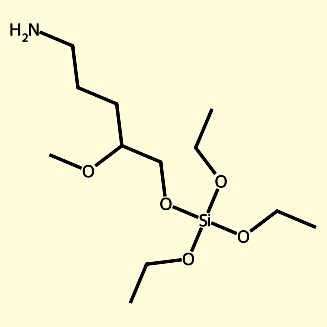 CCO[Si](OCC)(OCC)OCC(CCCN)OC